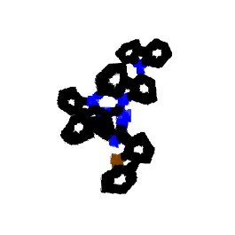 c1ccc(-c2nc(-c3cccc4c3sc3ccccc34)nc(-n3c4cccc(-n5c6ccccc6c6ccccc65)c4c4cccc(-n5c6ccccc6c6ccccc65)c43)n2)cc1